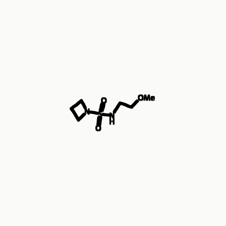 COCCNS(=O)(=O)N1CCC1